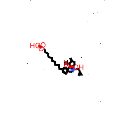 C=C1CC[C@@]2(O)C3Cc4ccc(CCCCCCCCCCOC(=O)O)c5c4[C@@]2(CCN3CC2CC2)[C@H]1O5